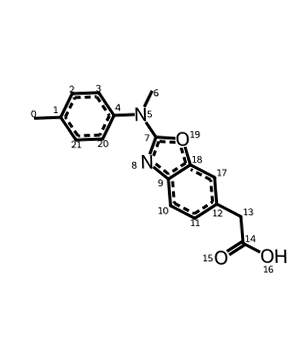 Cc1ccc(N(C)c2nc3ccc(CC(=O)O)cc3o2)cc1